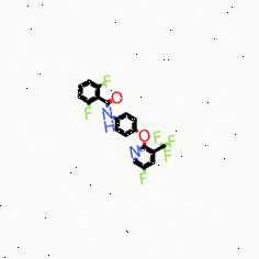 O=C(Nc1ccc(Oc2ncc(F)cc2C(F)(F)F)cc1)c1c(F)cccc1F